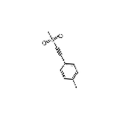 Cc1ccc(C#CS(C)(=O)=O)cc1